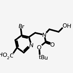 CC(C)(C)OC(=O)N(CCO)Cc1ncc(C(=O)O)cc1Br